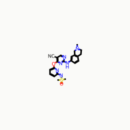 CN1CCc2ccc(Nc3ncc(C#N)c(Oc4cccc(N=S(C)(C)=O)n4)n3)cc2C1